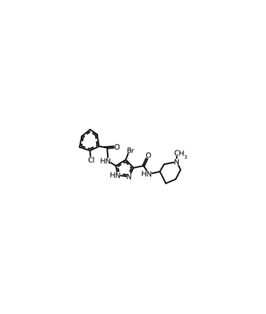 CN1CCCC(NC(=O)c2n[nH]c(NC(=O)c3ccccc3Cl)c2Br)C1